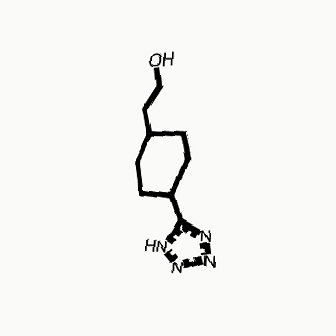 OCCC1CCC(c2nnn[nH]2)CC1